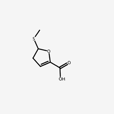 CSC1CC=C(C(=O)O)O1